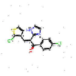 O=C(/C(=C/c1ccsc1Cl)c1ncc[nH]1)c1ccc(Cl)cc1